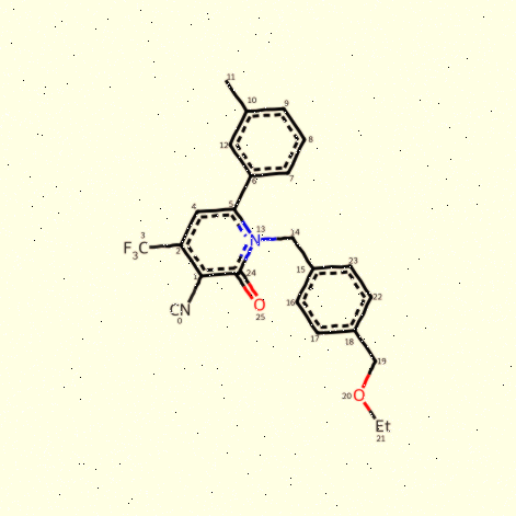 [C-]#[N+]c1c(C(F)(F)F)cc(-c2cccc(C)c2)n(Cc2ccc(COCC)cc2)c1=O